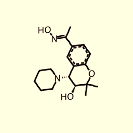 CC(=NO)c1ccc2c(c1)[C@@H](N1CCCCC1)[C@H](O)C(C)(C)O2